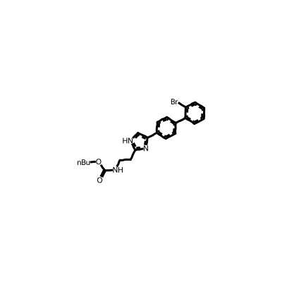 CCCCOC(=O)NCCc1nc(-c2ccc(-c3ccccc3Br)cc2)c[nH]1